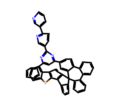 c1ccc(-c2cc(-c3ccc4c(c3)C3(c5ccccc5-c5ccccc5-4)c4ccccc4-c4c3ccc3c4sc4ccccc43)nc(-c3ccc(-c4cccnc4)nc3)n2)cc1